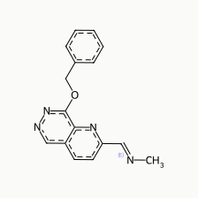 C/N=C/c1ccc2cnnc(OCc3ccccc3)c2n1